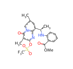 COC(=O)c1ccccc1N[C@H](C)c1cc(C)cn2c(=O)c(C)c(OS(=O)(=O)C(F)(F)F)nc12